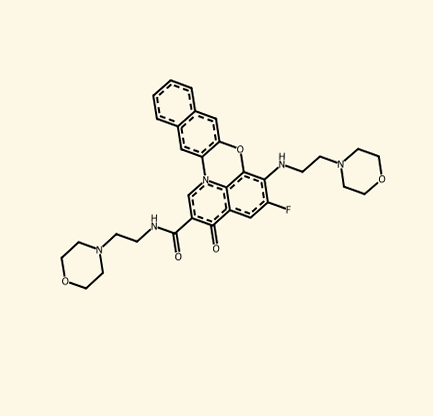 O=C(NCCN1CCOCC1)c1cn2c3c(c(NCCN4CCOCC4)c(F)cc3c1=O)Oc1cc3ccccc3cc1-2